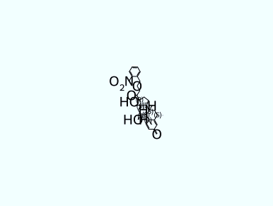 C[C@H]1C[C@@H]2[C@H]([C@@H](O)C[C@@]3(C)[C@H]2CC[C@]3(O)C(=O)COCc2ccccc2[N+](=O)[O-])[C@@]2(C)C=CC(=O)C=C12